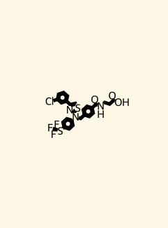 O=C(O)CCNC(=O)c1ccc(CN(c2ccc(SC(F)(F)F)cc2)c2nc(-c3cccc(Cl)c3)cs2)cc1